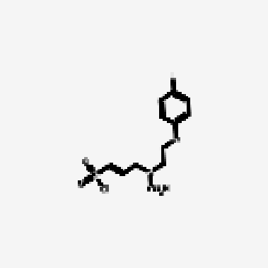 O=C(O)N(CC=CS(=O)(=O)Cl)CCOc1ccc(I)cc1